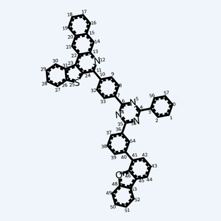 c1ccc(-c2nc(-c3ccc(-c4nc5cc6ccccc6cc5c5c4sc4ccccc45)cc3)nc(-c3cccc(-c4cccc5c4oc4ccccc45)c3)n2)cc1